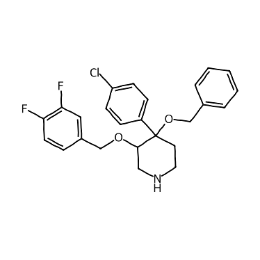 Fc1ccc(COC2CNCCC2(OCc2ccccc2)c2ccc(Cl)cc2)cc1F